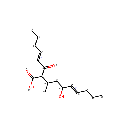 CCC/C=C/C(=O)C(C(=O)O)C(C)CC(O)/C=C/CCC